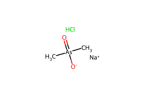 C[As](C)(=O)[O-].Cl.[Na+]